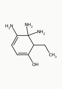 CCC1C(O)=CC=C(N)C1(N)N